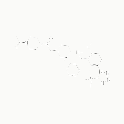 COc1ccc(-n2nnnc2C(F)(F)F)cc1CN[C@H]1CCN(CC(=O)N2CCN(C(C)=O)CC2)C[C@H]1c1ccccc1